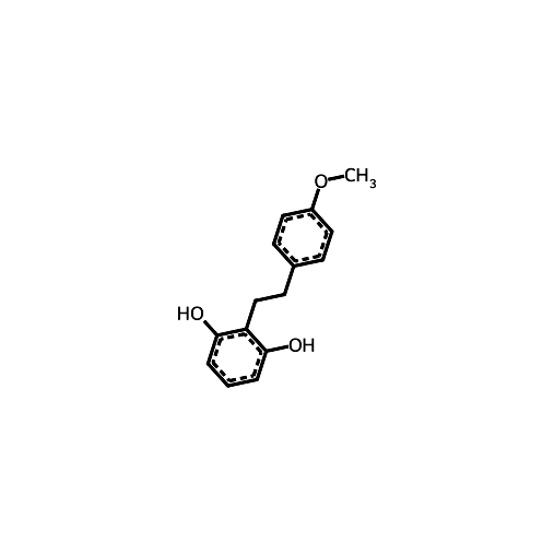 COc1ccc(CCc2c(O)cccc2O)cc1